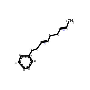 C/C=C/CC/C=C/CCc1ccccc1